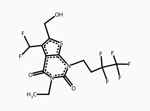 CCn1c(=O)c2c(C(F)F)c(CO)sc2n(CCC(F)(F)C(F)(F)F)c1=O